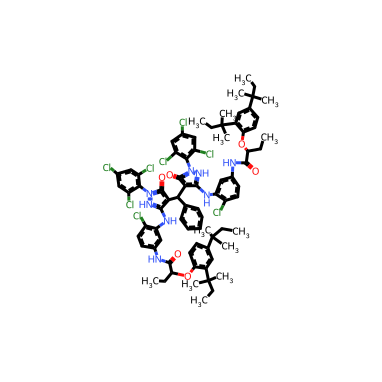 CCC(Oc1ccc(C(C)(C)CC)cc1C(C)(C)CC)C(=O)Nc1ccc(Cl)c(Nc2[nH]n(-c3c(Cl)cc(Cl)cc3Cl)c(=O)c2C(c2ccccc2)c2c(Nc3cc(NC(=O)C(CC)Oc4ccc(C(C)(C)CC)cc4C(C)(C)CC)ccc3Cl)[nH]n(-c3c(Cl)cc(Cl)cc3Cl)c2=O)c1